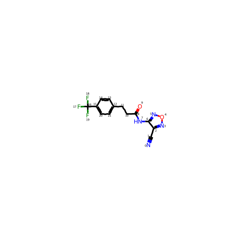 N#Cc1nonc1NC(=O)CCc1ccc(C(F)(F)F)cc1